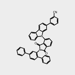 N#Cc1cccc(-c2ccc3c4ccccc4n(-c4cccc5c4C(=O)N(c4cc(-c6ccccc6)ccc4-c4ccccc4)C5=O)c3c2)c1